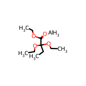 CCOC(=O)C(CC)(OCC)OCC.[AlH3]